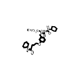 CCOC(=O)CN1Cc2cc(OCCCC(=O)N(C)C3CCCCC3)ccc2N=C1NC(=O)NC1CCCCC1